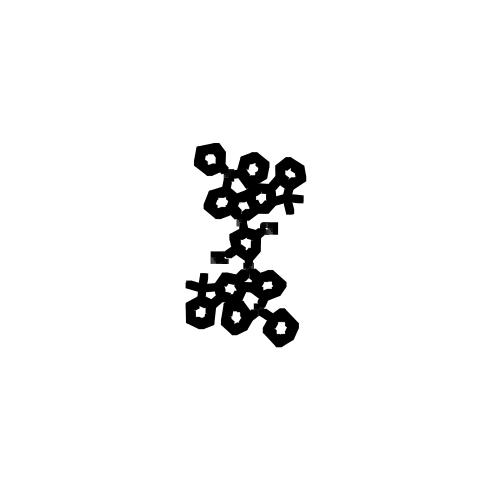 CC1(C)c2ccccc2-c2cc3c4c(N(c5ccccc5)c5ccccc5)cccc4n(-c4cc(C#N)c(-n5c6cc7c(cc6c6c(N(c8ccccc8)c8ccccc8)cccc65)-c5ccccc5C7(C)C)cc4C#N)c3cc21